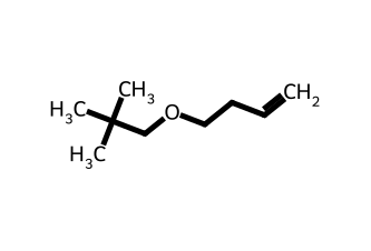 C=CCCOCC(C)(C)C